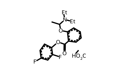 CC(=O)O.CCN(CC)C(C)Oc1ccccc1C(=O)Oc1ccc(F)cc1F